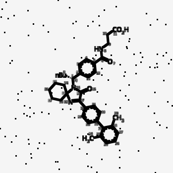 CCCC[C@H](c1ccc(C(=O)NCCC(=O)O)cc1)N1C(=O)C(c2ccc(-c3c(C)cccc3C)cc2)=NC12CCCCC2